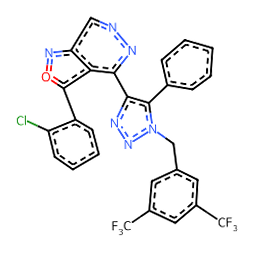 FC(F)(F)c1cc(Cn2nnc(-c3nncc4noc(-c5ccccc5Cl)c34)c2-c2ccccc2)cc(C(F)(F)F)c1